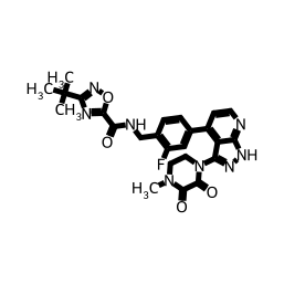 CN1CCN(c2n[nH]c3nccc(-c4ccc(CNC(=O)c5nc(C(C)(C)C)no5)c(F)c4)c23)C(=O)C1=O